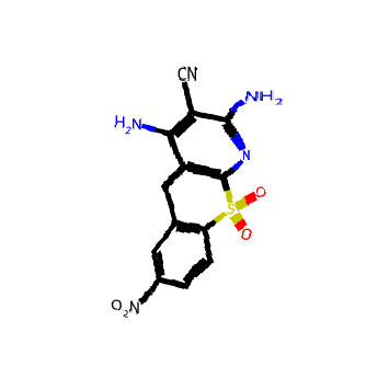 N#Cc1c(N)nc2c(c1N)Cc1cc([N+](=O)[O-])ccc1S2(=O)=O